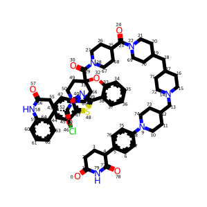 O=C1CCC(c2ccc(N3CCC(CN4CCC(CC5CCN(C(=O)C6CCN(C(=O)C7(Oc8ccccc8-c8nc9cccc(Cl)c9s8)CCN(C(=O)[C@H]8CC(=O)Nc9ccccc98)CC7)CC6)CC5)CC4)CC3)cc2)C(=O)N1